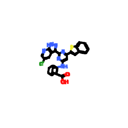 O=C(O)C1C2CCC(CC2)C1Nc1cc(-c2cc3ccccc3s2)nc(-c2n[nH]c3ncc(Cl)cc23)n1